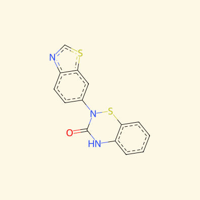 O=C1Nc2ccccc2SN1c1ccc2ncsc2c1